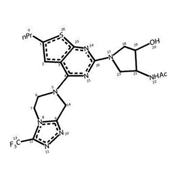 CCCc1cc2c(N3CCn4c(nnc4C(F)(F)F)C3)nc(N3CC(O)C(NC(C)=O)C3)nc2s1